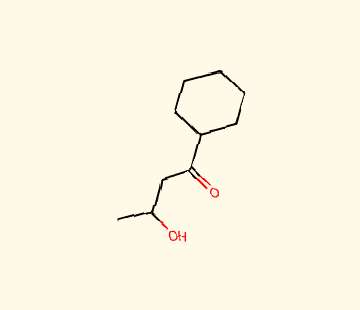 CC(O)CC(=O)C1CCCCC1